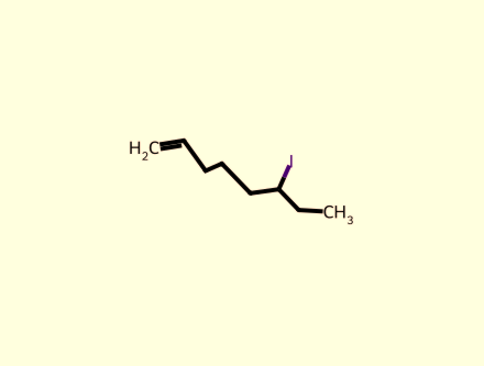 C=CCCCC(I)CC